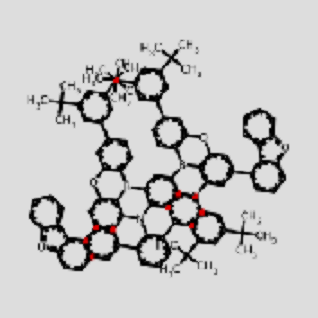 CC(C)(C)c1cc(-c2ccc3c(c2)Oc2cc(-c4cccc5oc6ccccc6c45)cc4c2B3c2cc3c(cc2N4c2cc(C(C)(C)C)cc(C(C)(C)C)c2)N(c2c(-c4ccccc4)cccc2-c2ccccc2)c2cc(-c4cccc5oc6ccccc6c45)cc4c2B3c2ccc(-c3cc(C(C)(C)C)cc(C(C)(C)C)c3)cc2O4)cc(C(C)(C)C)c1